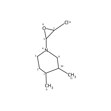 CC1CCN(C2OC2Cl)CC1C